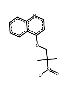 CC(C)(COc1ccnc2ccccc12)[N+](=O)[O-]